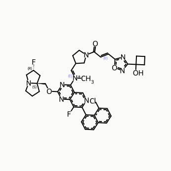 C/[N+](=C\C1CCN(C(=O)/C=C/c2nc(C3(O)CCC3)no2)C1)c1nc(OC[C@@]23CCCN2C[C@H](F)C3)nc2c(F)c(-c3cccc4cccc(Cl)c34)ncc12